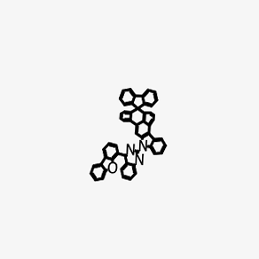 c1ccc2c(c1)-c1ccccc1C21c2ccccc2-c2cc3c(c4cccc1c24)c1ccccc1n3-c1nc(-c2cccc3c2oc2ccccc23)c2ccccc2n1